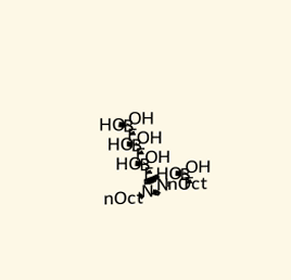 CCCCCCCCN1C=CN(CCCCCCCC)C1.OB(O)F.OB(O)F.OB(O)F.OB(O)F